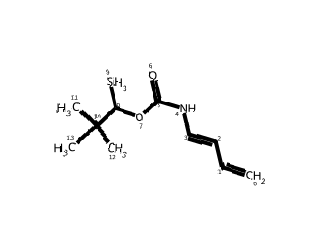 C=CC=CNC(=O)OC([SiH3])C(C)(C)C